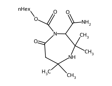 CCCCCCOC(=O)N1C(=O)CC(C)(C)NC(C)(C)C1C(N)=O